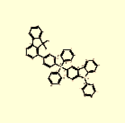 CC1(C)c2ccccc2-c2cccc(-c3ccc([Si](c4ccccc4)(c4ccccc4)c4ccc5c(c4)c4ccccc4n5-c4ccccc4)cc3)c21